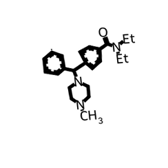 CCN(CC)C(=O)c1ccc(C(c2c[c]ccc2)N2CCN(C)CC2)cc1